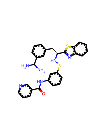 NC(N)c1cccc(C[C@@H](NSc2cccc(NC(=O)c3cccnc3)c2)c2nc3ccccc3s2)c1